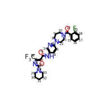 O=C(Nc1ccc(N2CCCN(C(=O)c3ccccc3F)CC2)nc1)c1oc(N2CCCCC2)nc1C(F)(F)F